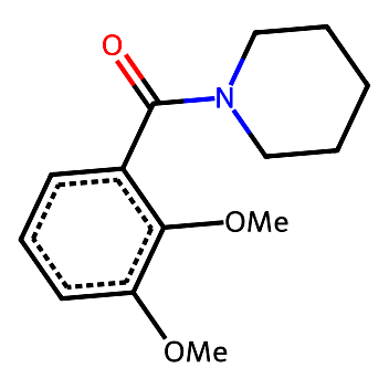 COc1cccc(C(=O)N2CCCCC2)c1OC